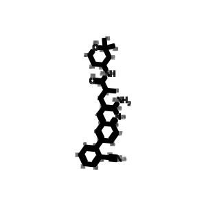 CC(Cc1cc2cc(-c3ccccc3C#N)ccc2nc1N)C(=O)NC1CCOC(C)(C)C1